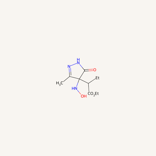 CCOC(=O)C(CC)C1(NO)C(=O)NN=C1C